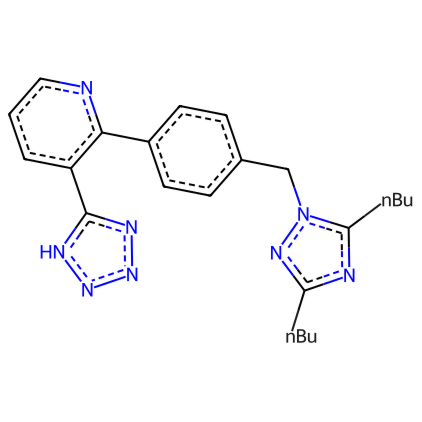 CCCCc1nc(CCCC)n(Cc2ccc(-c3ncccc3-c3nnn[nH]3)cc2)n1